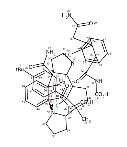 CC(C)(C)c1ccc(C2(C)C(C3CCCN3[C@@]3(C(=O)NC(=O)O)c4ccc(cc4)C3(C)CC(N)=O)CCC2(C)C2CCCN2[C@@]2(C(=O)NC(=O)O)c3ccc(cc3)C2(C)CC(N)=O)cc1